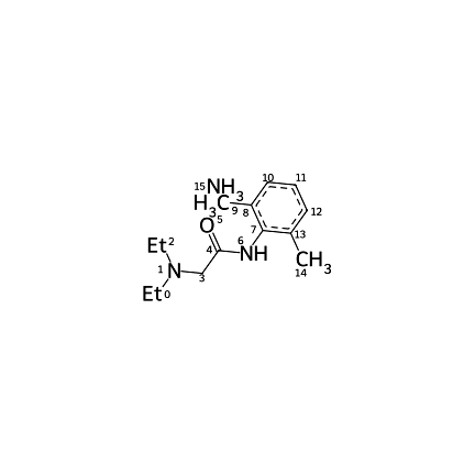 CCN(CC)CC(=O)Nc1c(C)cccc1C.N